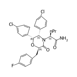 CCC[C@@H](C(N)=O)N1C(=O)[C@@H](Cc2ccc(F)cc2)O[C@H](c2ccc(Cl)cc2)[C@@H]1c1ccc(Cl)cc1